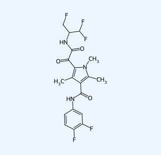 Cc1c(C(=O)Nc2ccc(F)c(F)c2)c(C)n(C)c1C(=O)C(=O)NC(CF)C(F)F